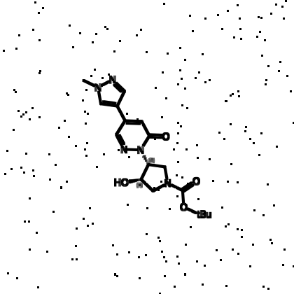 Cn1cc(-c2cnn([C@@H]3CN(C(=O)OC(C)(C)C)C[C@H]3O)c(=O)c2)cn1